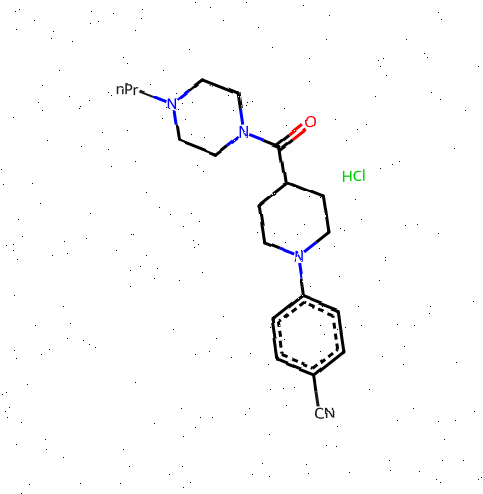 CCCN1CCN(C(=O)C2CCN(c3ccc(C#N)cc3)CC2)CC1.Cl